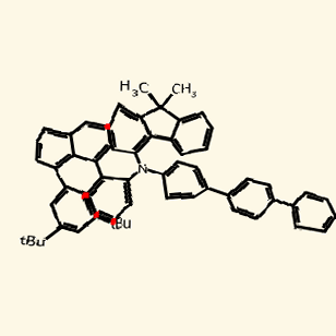 CC(C)(C)c1cc(-c2cccc3cccc(-c4ccccc4N(c4ccc(-c5ccc(-c6ccccc6)cc5)cc4)c4cccc5c4-c4ccccc4C5(C)C)c23)cc(C(C)(C)C)c1